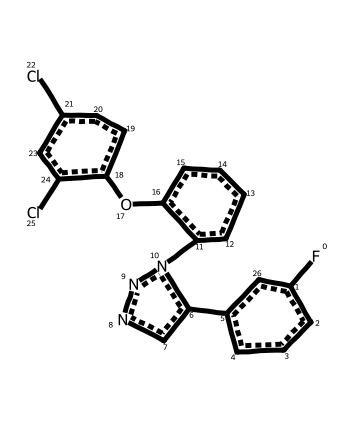 Fc1cccc(-c2cnnn2-c2ccccc2Oc2ccc(Cl)cc2Cl)c1